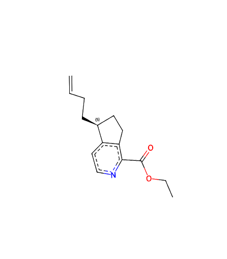 C=CCC[C@H]1CCc2c1ccnc2C(=O)OCC